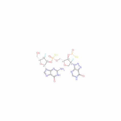 Nc1nc2c(ncn2[C@@H]2O[C@H](CO)[C@@H](F)[C@H]2OP(=O)(S)OC[C@H]2OC[C@@](F)(n3nnc4c(=O)[nH]cnc43)[C@@H]2O[PH](=O)S)c(=O)[nH]1